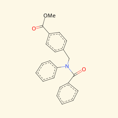 COC(=O)c1ccc(CN(C(=O)c2ccccc2)c2ccccc2)cc1